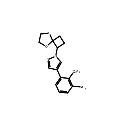 COc1c(N)cccc1-c1cnn(C2CCC23OCCO3)c1